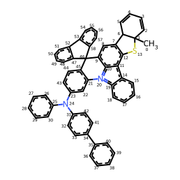 CC12C=CC=CC1c1cc3c4c(c1S2)c1ccccc1n4-c1cc(N(c2ccccc2)c2ccc(-c4ccccc4)cc2)ccc1C31c2ccccc2-c2ccccc21